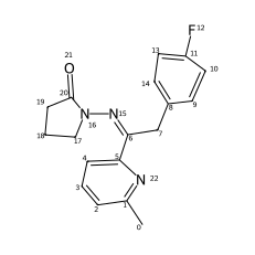 Cc1cccc(C(Cc2ccc(F)cc2)=NN2CCCC2=O)n1